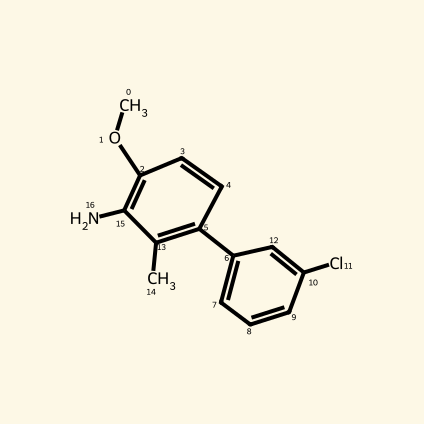 COc1ccc(-c2cccc(Cl)c2)c(C)c1N